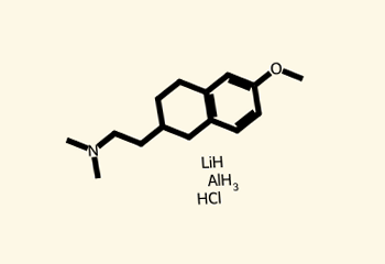 COc1ccc2c(c1)CCC(CCN(C)C)C2.Cl.[AlH3].[LiH]